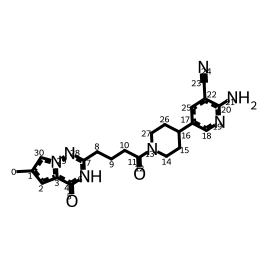 Cc1cc2c(=O)[nH]c(CCCC(=O)N3CCC(c4cnc(N)c(C#N)c4)CC3)nn2c1